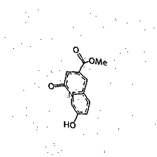 COC(=O)c1cc(=O)n2cc(O)ccc2c1